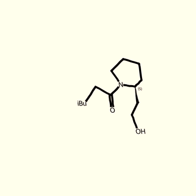 CCC(C)CC(=O)N1CCCC[C@H]1CCO